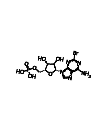 Nc1nc(Br)nc2c1ncn2[C@@H]1O[C@H](COP(=O)(O)O)[C@@H](O)[C@H]1O